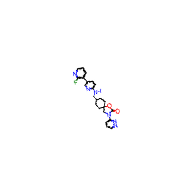 O=C1O[C@]2(CC[C@H](CNc3ccc(-c4cccnc4F)cn3)CC2)CN1c1cccnn1